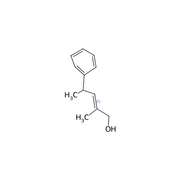 C/C(=C\C(C)c1ccccc1)CO